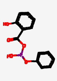 O=C(OP(O)Oc1ccccc1)c1ccccc1O